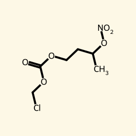 CC(CCOC(=O)OCCl)O[N+](=O)[O-]